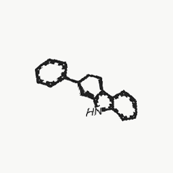 C1=c2[nH]c3ccccc3c2=CCC1c1ccccc1